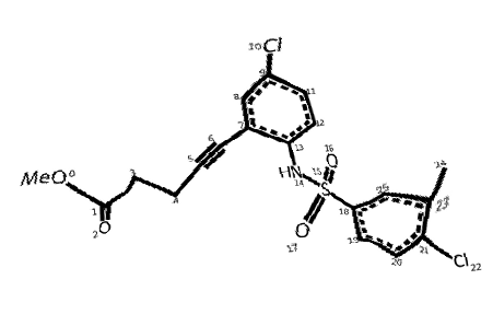 COC(=O)CCC#Cc1cc(Cl)ccc1NS(=O)(=O)c1ccc(Cl)c(C)c1